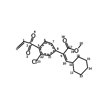 C=CS(=O)(=O)c1ccc(C(=CC2CCCCC2)C(=O)OC)cc1Cl